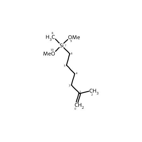 C=C(C)CCCC[Si](C)(OC)OC